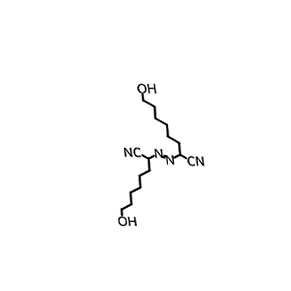 N#CC(CCCCCCO)N=NC(C#N)CCCCCCO